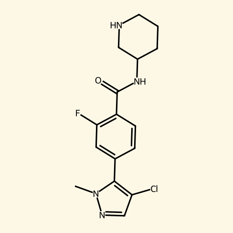 Cn1ncc(Cl)c1-c1ccc(C(=O)NC2CCCNC2)c(F)c1